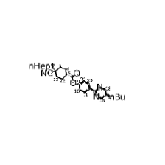 CCCCCCC[C@]1(C#N)CC[C@H](C(=O)Oc2ccc(-c3ncc(CCCC)cn3)cc2)CC1